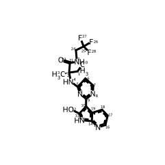 CC[C@@](C)(Nc1ccnc(-c2c(O)[nH]c3ncccc23)n1)C(=O)NCC(F)(F)F